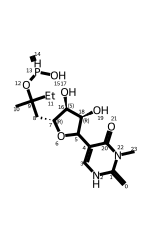 C=C1NC=C(C2O[C@H](CC(C)(CC)O[PH](=C)O)[C@@H](O)[C@H]2O)C(=O)N1C